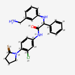 NCc1cccc(NC(C(=O)Nc2ccc(N3CCCC3=S)c(Cl)c2)c2ccccc2)c1